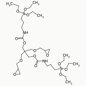 CCO[Si](CCCNC(=O)OCC(COCC1CO1)(COCC1CO1)COC(=O)NCCC[Si](OCC)(OCC)OCC)(OCC)OCC